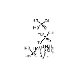 CC.CC.CC.O=P(O)(O)O.O=P(O)(O)O.O=P(O)(O)O